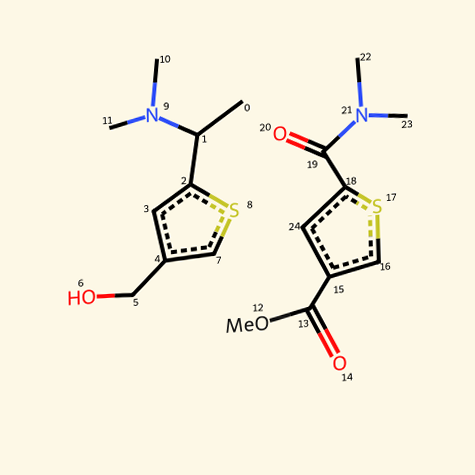 CC(c1cc(CO)cs1)N(C)C.COC(=O)c1csc(C(=O)N(C)C)c1